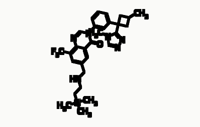 CC1CC(c2cccc(-n3cnc4c(C(F)(F)F)cc(CNCC[Si](C)(C)C)cc4c3=O)c2)(c2nncn2C)C1